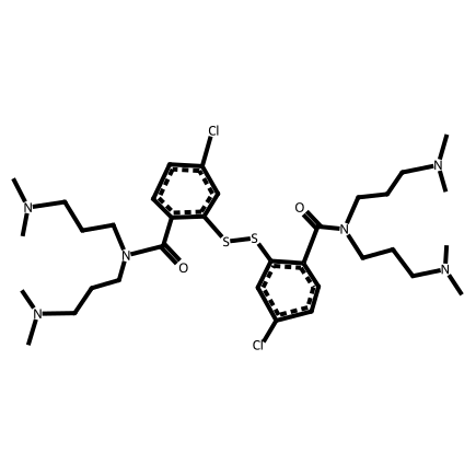 CN(C)CCCN(CCCN(C)C)C(=O)c1ccc(Cl)cc1SSc1cc(Cl)ccc1C(=O)N(CCCN(C)C)CCCN(C)C